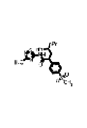 CCCC(CCC)CC(C(=O)Nc1nc(C)ns1)c1ccc(S(C)(=O)=O)cc1